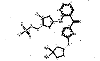 CC1(C)CC[C@@H](Cn2ccc(C(=O)c3cncnc3N[C@@H]3C[C@H](COS(N)(=O)=O)[C@@H](O)C3)n2)O1